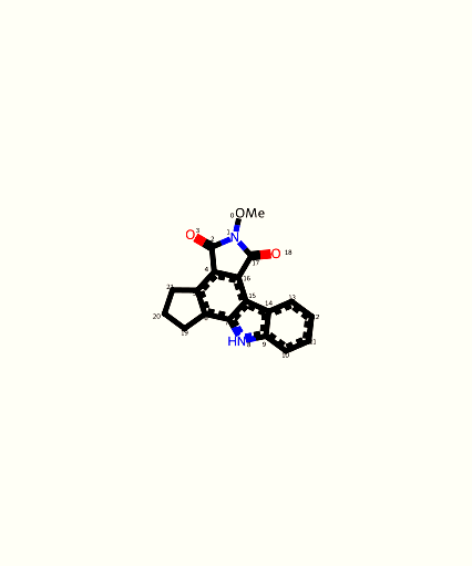 CON1C(=O)c2c3c(c4[nH]c5ccccc5c4c2C1=O)CCC3